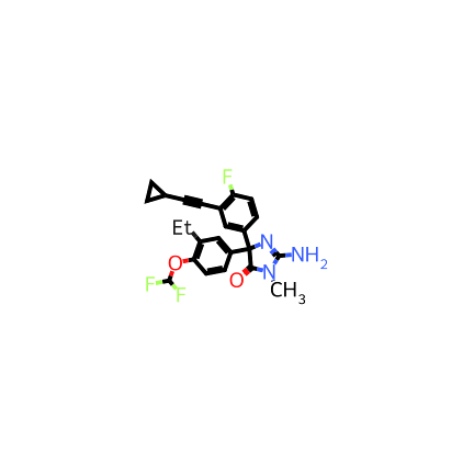 CCc1cc(C2(c3ccc(F)c(C#CC4CC4)c3)N=C(N)N(C)C2=O)ccc1OC(F)F